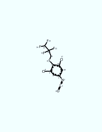 O=C=Nc1cc(Cl)c(SCC(F)(F)C(F)F)c(Cl)c1